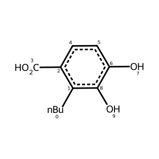 CCCCc1c(C(=O)O)ccc(O)c1O